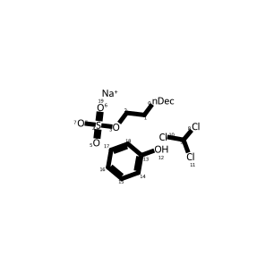 CCCCCCCCCCCCOS(=O)(=O)[O-].ClC(Cl)Cl.Oc1ccccc1.[Na+]